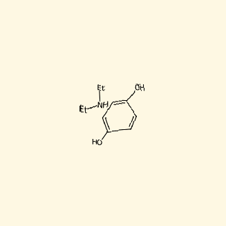 CCNCC.Oc1ccc(O)cc1